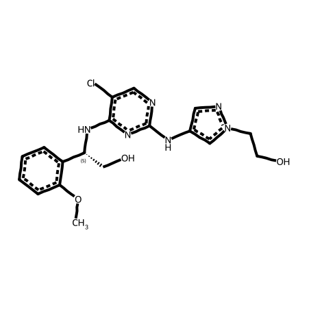 COc1ccccc1[C@@H](CO)Nc1nc(Nc2cnn(CCO)c2)ncc1Cl